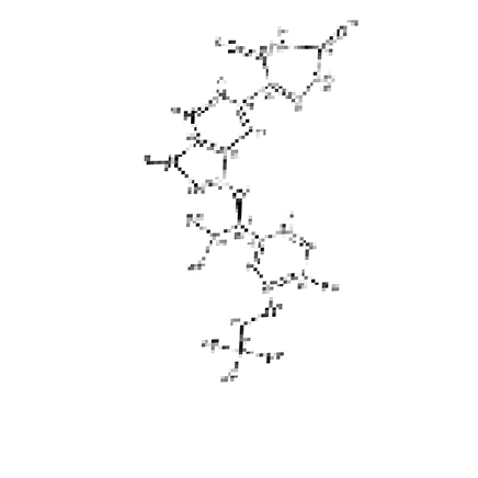 Cn1nc(O[C@@H](c2cc(OCC(F)(F)F)c(F)cn2)C(F)F)c2cc(-c3c[nH]c(=O)[nH]c3=O)nnc21